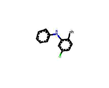 CCCc1ccc(Cl)cc1Nc1ccccc1